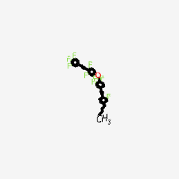 CCCCCc1ccc(C#Cc2ccc(C(F)(F)Oc3cc(F)c(C#Cc4cc(F)c(F)c(F)c4)c(F)c3)c(F)c2)c(F)c1